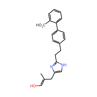 C/C(=C\O)Cc1c[nH]c(CCc2ccc(-c3ccccc3C(=O)O)cc2)n1